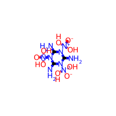 NC1N([N+]([O-])(O)O)C(N)N([N+]([O-])(O)O)C(N)N1[N+]([O-])(O)O